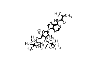 CC(C)C(=O)Nc1ncnc2c1ncn2[C@H]1C[C@H](O[Si](C)(C)C(C)(C)C)[C@@](CCl)(CO[Si](C)(C)C(C)(C)C)O1